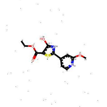 CCOC(=O)c1sc(-c2ccnc(OC)c2)nc1O